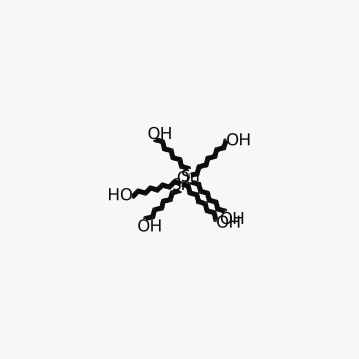 OCCCCCCC[CH2][Sn]([CH2]CCCCCCCO)([CH2]CCCCCCCO)[O][Sn]([CH2]CCCCCCCO)([CH2]CCCCCCCO)[CH2]CCCCCCCO